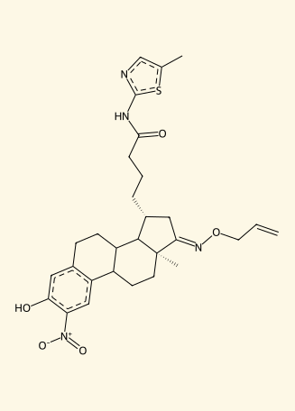 C=CCO/N=C1\C[C@@H](CCCC(=O)Nc2ncc(C)s2)C2C3CCc4cc(O)c([N+](=O)[O-])cc4C3CC[C@]12C